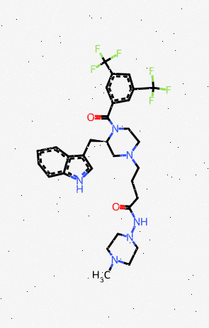 CN1CCN(NC(=O)CCCN2CCN(C(=O)c3cc(C(F)(F)F)cc(C(F)(F)F)c3)[C@H](Cc3c[nH]c4ccccc34)C2)CC1